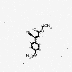 CCOC(=O)C=C(C#N)c1ccc(OC)cc1